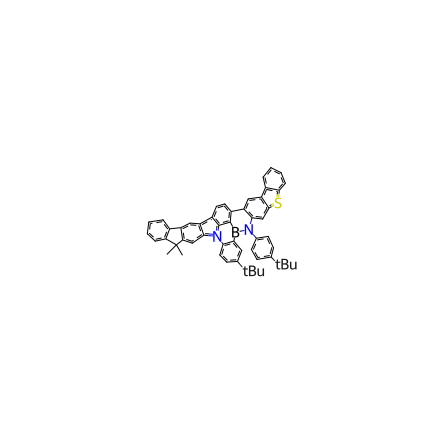 CC(C)(C)c1ccc(N2B3c4cc(C(C)(C)C)ccc4-n4c5cc6c(cc5c5ccc(c3c54)-c3cc4c(cc32)sc2ccccc24)-c2ccccc2C6(C)C)cc1